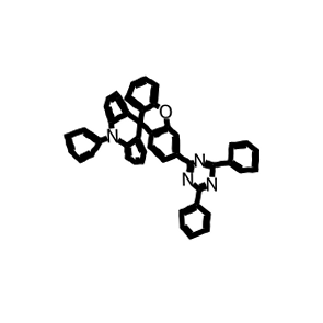 c1ccc(-c2nc(-c3ccccc3)nc(-c3ccc4c(c3)Oc3ccccc3C43c4ccccc4N(c4ccccc4)c4ccccc43)n2)cc1